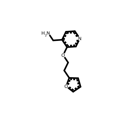 NCc1ccncc1OCCc1ccco1